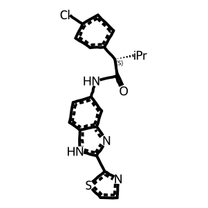 CC(C)[C@H](C(=O)Nc1ccc2[nH]c(-c3nccs3)nc2c1)c1ccc(Cl)cc1